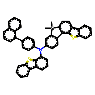 C[Si]1(C)c2cc(N(c3ccc(-c4cccc5ccccc45)cc3)c3cccc4c3sc3ccccc34)ccc2-c2c1ccc1c2sc2ccccc21